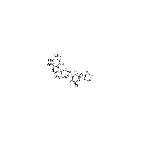 C[C@@H]1CNc2c(sc3ccc4nc(-c5cc(Cl)nc(CN6CCOCC6)c5F)ccc4c23)C(=O)N1